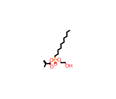 C=C(C)C(=O)OP(=O)(CCCCCCCCCC)OCCO